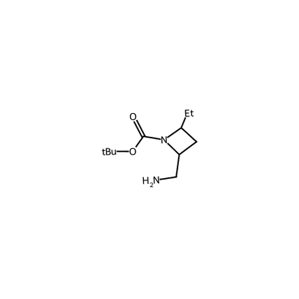 CCC1CC(CN)N1C(=O)OC(C)(C)C